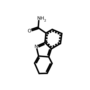 NC(=O)c1cccc2c1=NC1=CCC=CC=21